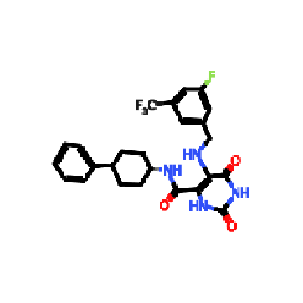 O=C(N[C@H]1CC[C@H](c2ccccc2)CC1)c1[nH]c(=O)[nH]c(=O)c1NCc1cc(F)cc(C(F)(F)F)c1